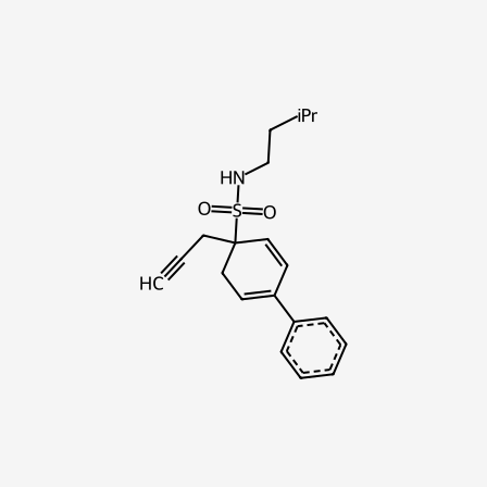 C#CCC1(S(=O)(=O)NCCC(C)C)C=CC(c2ccccc2)=CC1